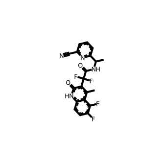 Cc1c(C(F)(F)C(=O)NC(C)c2cccc(C#N)n2)c(=O)[nH]c2ccc(F)c(F)c12